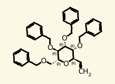 C=C[C@H]1O[C@H](COCc2ccccc2)[C@@H](OCc2ccccc2)[C@H](OCc2ccccc2)[C@@H]1OCc1ccccc1